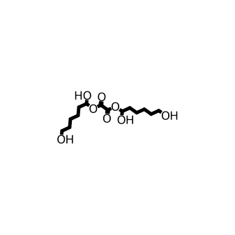 O=C(OC(O)CCCCCO)C(=O)OC(O)CCCCCO